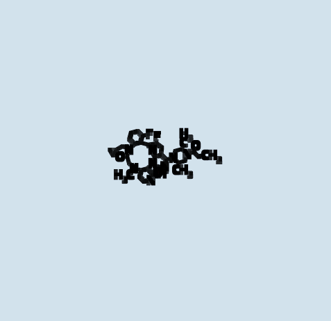 C=CC(=O)N1C[C@H](C)N(c2nc(=O)n3c4nc(c(F)cc24)-c2c(F)cccc2N(CC2CC2)C(=O)CN(C)c2ccnc(C(C)C)c2-3)C[C@H]1C